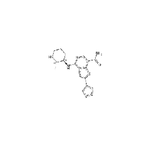 C[C@@H]1NCCC[C@H]1Nc1ncc(C(N)=O)c2sc(-c3ccsc3)cc12